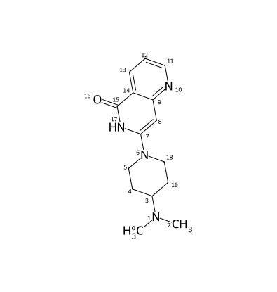 CN(C)C1CCN(c2cc3ncccc3c(=O)[nH]2)CC1